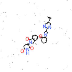 O=C1CC[C@H](N2Cc3cc(O[C@@H]4CCCC[C@@H]4N4CC(c5ncc(C6CC6)cn5)C4)ccc3C2=O)C(=O)N1